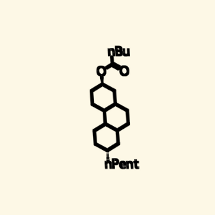 CCCCC[C@@H]1CCC2C(CCC3C[C@H](OC(=O)CCCC)CCC32)C1